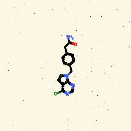 NC(=O)Cc1ccc(Cn2ccc3c(Cl)ncnc32)cc1